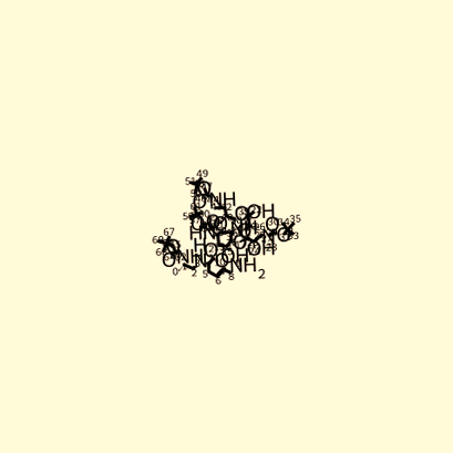 C[C@@H](CN[C@@H]1CC=C(CN)O[C@@H]1O[C@H]1[C@H](O)[C@@H](O[C@@H](OCCO)[C@H](O)[C@H](C)N(C)C(=O)OC(C)(C)C)[C@H](NC(=O)[C@@H](O)CCNC(=O)OC(C)(C)C)C[C@@H]1NC(=O)OC(C)(C)C)NC(=O)OC(C)(C)C